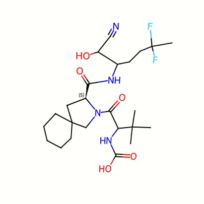 CC(F)(F)CCC(NC(=O)[C@@H]1CC2(CCCCC2)CN1C(=O)C(NC(=O)O)C(C)(C)C)C(O)C#N